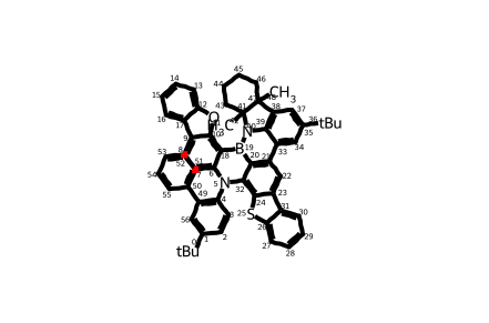 CC(C)(C)c1ccc(N2c3ccc4c(oc5ccccc54)c3B3c4c(cc5c(sc6ccccc65)c42)-c2cc(C(C)(C)C)cc4c2N3C2(C)CCCCC42C)c(-c2ccccc2)c1